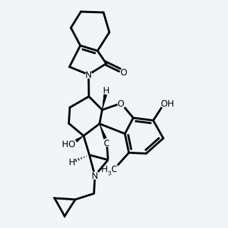 Cc1ccc(O)c2c1[C@]13CC4[C@@H](N4CC4CC4)[C@]1(O)CCC(N1CC4=C(CCCC4)C1=O)[C@@H]3O2